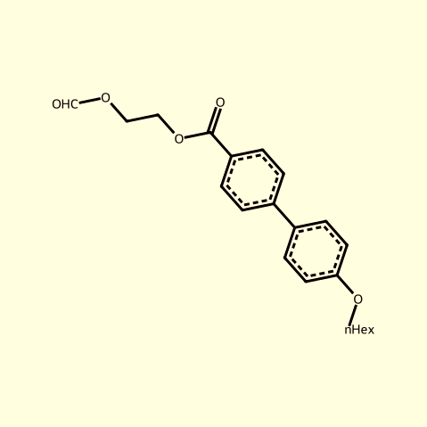 CCCCCCOc1ccc(-c2ccc(C(=O)OCCOC=O)cc2)cc1